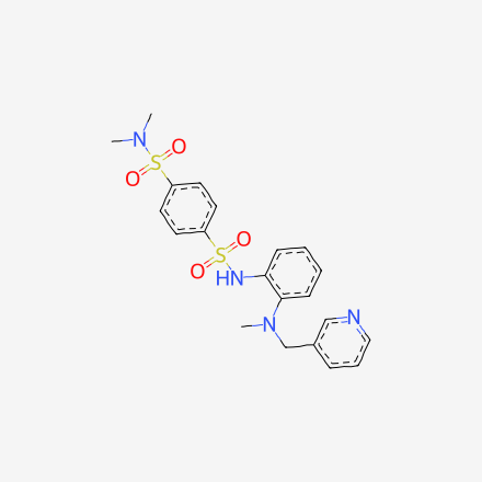 CN(Cc1cccnc1)c1ccccc1NS(=O)(=O)c1ccc(S(=O)(=O)N(C)C)cc1